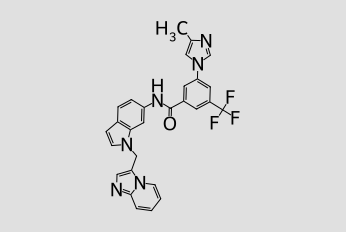 Cc1cn(-c2cc(C(=O)Nc3ccc4ccn(Cc5cnc6ccccn56)c4c3)cc(C(F)(F)F)c2)cn1